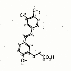 Cc1ccc(N=Nc2ccc(O)c(CCC(=O)O)c2)cc1Cl